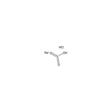 Cl.O=[S-](=O)O.[Na+]